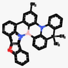 Cc1cc2c3c(c1)N1c4ccccc4[Si](C)(C)c4cccc(c41)B3n1c3c-2cccc3c2oc3ccccc3c21